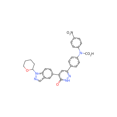 O=C(O)N(c1ccc(-c2cc(-c3ccc4c(cnn4C4CCCCO4)c3)c(=O)[nH]n2)cc1)c1ccc([N+](=O)[O-])cc1